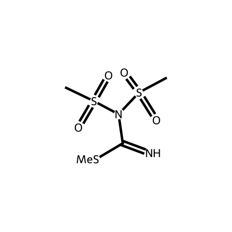 CSC(=N)N(S(C)(=O)=O)S(C)(=O)=O